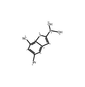 CC(C)c1cc(C#N)c2sc(B(O)O)cc2c1